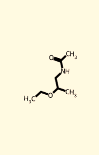 CCOC(C)CNC(C)=O